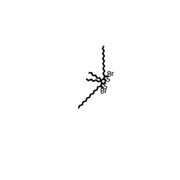 CCCCCCCCCCCCc1c(Br)sc2c1C(CCCCCC)(CCCCCC)c1c-2sc(Br)c1CCCCCCCCCCCC